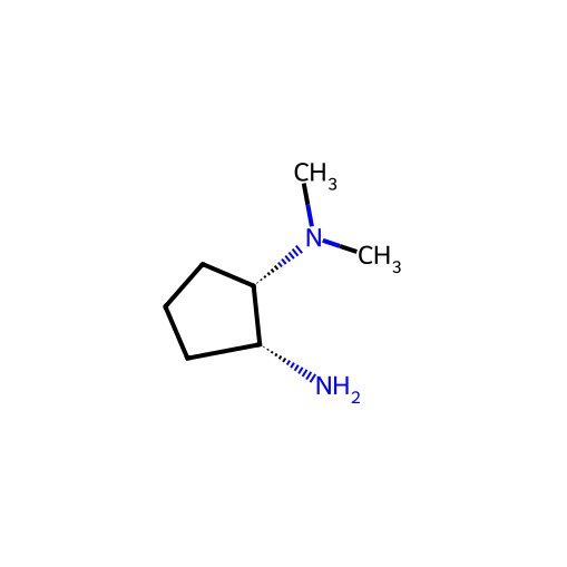 CN(C)[C@H]1CCC[C@H]1N